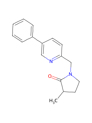 CC1CCN(Cc2ccc(-c3ccccc3)cn2)C1=O